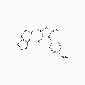 COc1ccc(N2C(=O)C(=Cc3ccc4c(c3)OCO4)SC2=S)cc1